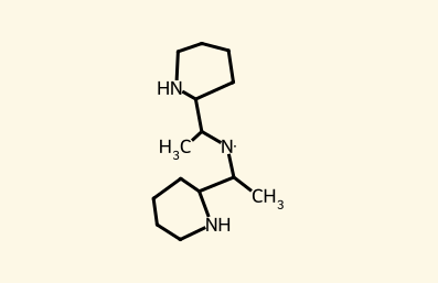 CC([N]C(C)C1CCCCN1)C1CCCCN1